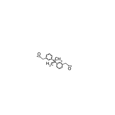 C[Si](C)(c1cccc(CC2CO2)c1)c1cccc(CC2CO2)c1